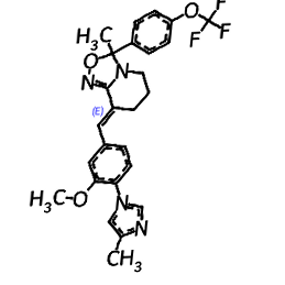 COc1cc(/C=C2\CCCN3C2=NOC3(C)c2ccc(OC(F)(F)F)cc2)ccc1-n1cnc(C)c1